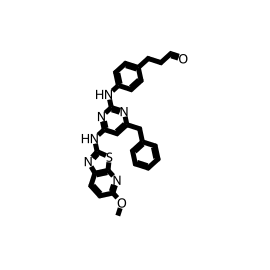 COc1ccc2nc(Nc3cc(Cc4ccccc4)nc(Nc4ccc(CCC=O)cc4)n3)sc2n1